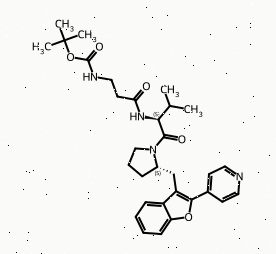 CC(C)[C@H](NC(=O)CCNC(=O)OC(C)(C)C)C(=O)N1CCC[C@H]1Cc1c(-c2ccncc2)oc2ccccc12